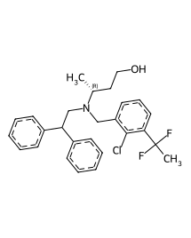 C[C@H](CCO)N(Cc1cccc(C(C)(F)F)c1Cl)CC(c1ccccc1)c1ccccc1